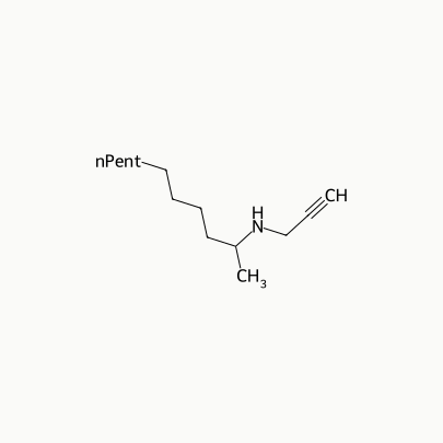 C#CCNC(C)CCCCCCCCC